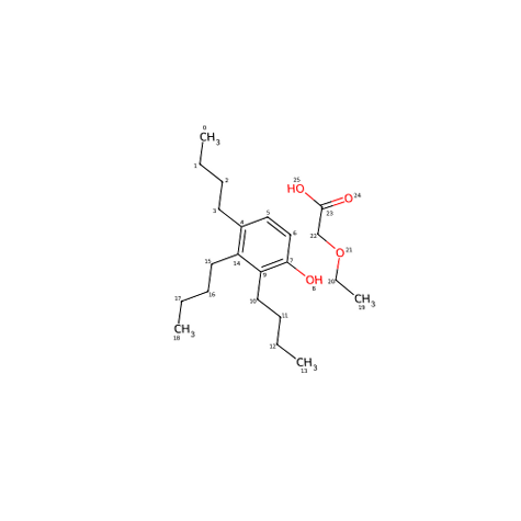 CCCCc1ccc(O)c(CCCC)c1CCCC.CCOCC(=O)O